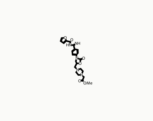 COC(=O)CN1CCN(CC2CN(c3ccc(C(=N)NC(=O)c4ccco4)cc3)C(=O)O2)CC1